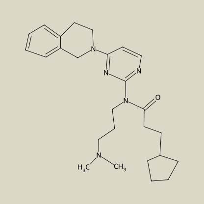 CN(C)CCCN(C(=O)CCC1CCCC1)c1nccc(N2CCc3ccccc3C2)n1